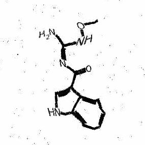 CONC(N)=NC(=O)c1c[nH]c2ccccc12